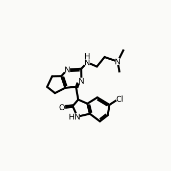 CN(C)CCNc1nc2c(c(C3C(=O)Nc4ccc(Cl)cc43)n1)CCC2